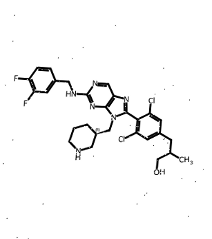 CC(CO)Cc1cc(Cl)c(-c2nc3cnc(NCc4ccc(F)c(F)c4)nc3n2C[C@@H]2CCCNC2)c(Cl)c1